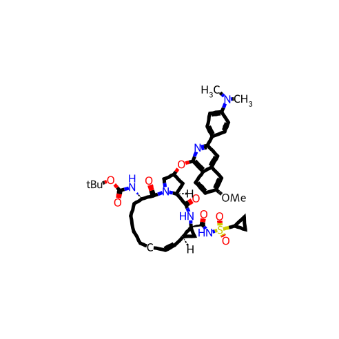 COc1ccc2c(OC3C[C@H]4C(=O)N[C@]5(C(=O)NS(=O)(=O)C6CC6)C[C@H]5/C=C\CCCCC[C@H](NC(=O)OC(C)(C)C)C(=O)N4C3)nc(-c3ccc(N(C)C)cc3)cc2c1